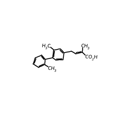 C/C(=C\Cc1ccc(-c2ccccc2C)c(C)c1)C(=O)O